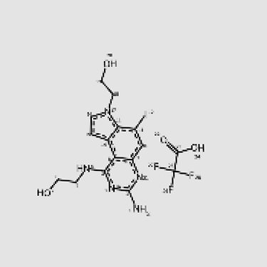 Nc1nc(NCCO)c2c(cc(I)c3c2ccn3CCO)n1.O=C(O)C(F)(F)F